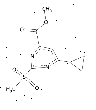 COC(=O)c1cc(C2CC2)nc(S(C)(=O)=O)n1